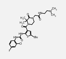 CN(C)CCNC(=O)CN1CCN(C(=O)c2cc(C(C)(C)C)sc2NC(=O)Nc2ccc(F)cc2Cl)C(C)(C)C1=O